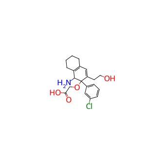 NC1C2=C(C=C(CCO)C1(OCC(=O)O)c1cccc(Cl)c1)CCCC2